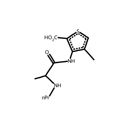 CCCNC(C)C(=O)Nc1c(C)csc1C(=O)O